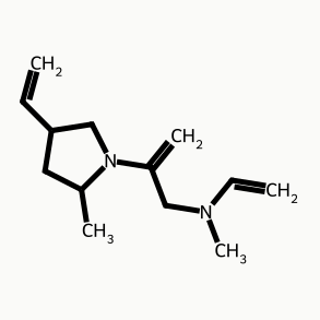 C=CC1CC(C)N(C(=C)CN(C)C=C)C1